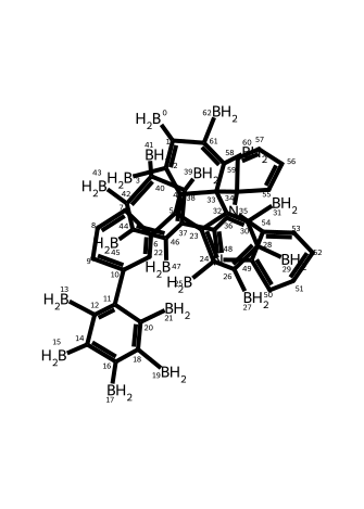 BC1=C(B)C2=C(c3cccc(-c4c(B)c(B)c(B)c(B)c4B)c3)c3c(B)c(B)c(B)c(B)c3C2(C2(n3c(-c4c(B)c(B)c(B)c(B)c4B)nc4ccccc43)C=CC=C2)C(B)=C1B